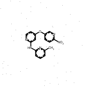 Cc1cccc(Nc2cc(Oc3ccc([N+](=O)[O-])nc3)ccn2)n1